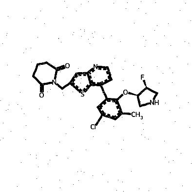 Cc1cc(Cl)cc(-c2ccnc3cc(CN4C(=O)CCCC4=O)sc23)c1O[C@@H]1CNC[C@@H]1F